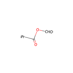 CC(C)C(=O)O[C]=O